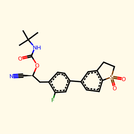 CC(C)(C)NC(=O)O[C@H](C#N)Cc1ccc(-c2ccc3c(c2)CCS3(=O)=O)cc1F